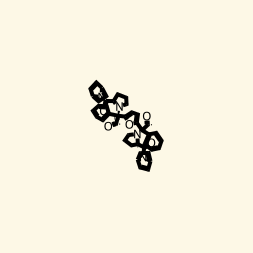 O=[C][C@](c1ccccc1)(c1ccc([C@]([C]=O)(c2ccccc2)N2CCC[C]2C(=O)n2c3ccc2cc3)o1)N1CCC[C]1C(=O)n1c2ccc1cc2